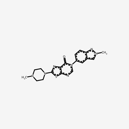 CN1CCN(c2nc3c(=O)n(-c4ccc5nn(C)cc5c4)cnc3s2)CC1